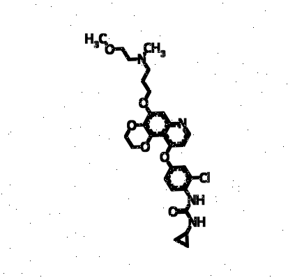 COCCN(C)CCCOc1cc2nccc(Oc3ccc(NC(=O)NC4CC4)c(Cl)c3)c2c2c1OCCO2